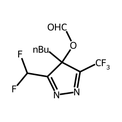 CCCCC1(OC=O)C(C(F)F)=NN=C1C(F)(F)F